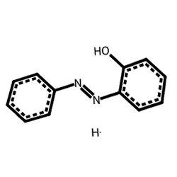 Oc1ccccc1N=Nc1ccccc1.[H]